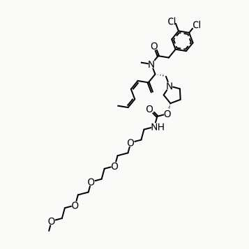 C=C(/C=C\C=C/C)[C@@H](CN1CC[C@H](OC(=O)NCCOCCOCCOCCOCCOC)C1)N(C)C(=O)Cc1ccc(Cl)c(Cl)c1